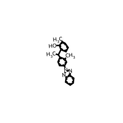 Cc1cc(-n2nc3ccccc3n2)ccc1C(C)c1cccc(C)c1O